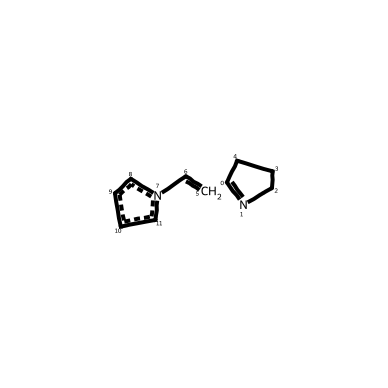 C1=NCCC1.C=Cn1cccc1